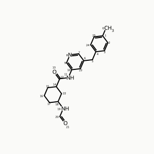 Cc1ccc(Cc2cncc(NC(=O)C3CCCC(NC=O)C3)c2)cc1